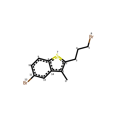 Cc1c(CCCBr)sc2ccc(Br)cc12